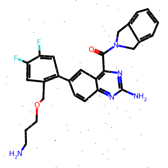 NCCCOCc1cc(F)c(F)cc1-c1ccc2nc(N)nc(C(=O)N3Cc4ccccc4C3)c2c1